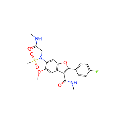 CNC(=O)CN(c1cc2oc(-c3ccc(F)cc3)c(C(=O)NC)c2cc1OC)S(C)(=O)=O